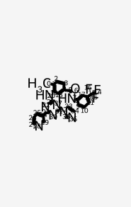 Cc1ccc(C(=O)Nc2cccc(C(F)(F)F)c2)cc1Nc1nc(-c2cccnc2)nc(-n2ccnc2)n1